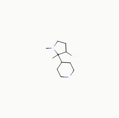 CNC1CCN(C)C1(C)C1CCNCC1